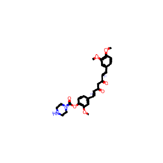 COc1ccc(/C=C/C(=O)CC(=O)/C=C/c2ccc(OC(=O)N3CCNCC3)c(OC)c2)cc1OC